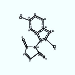 O=C1C=CC(=O)N1c1c(Cl)sc2ccc(Cl)cc12